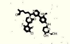 CNc1cc(NC2CCC(O)[C@@H](CO)O2)ccc1-c1ccnc(C(CCCC(C)C=O)N2CCC(c3c(F)ccc(Cl)c3F)=CC2=O)c1